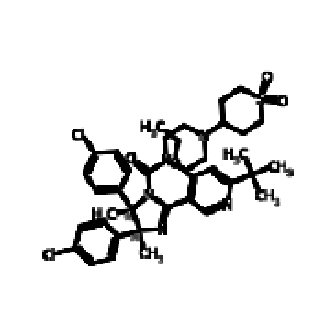 CCOc1cc(C(C)(C)C)ncc1C1=N[C@](C)(c2ccc(Cl)cc2)[C@](C)(c2ccc(Cl)cc2)N1C(=O)N1CCN(C2CCS(=O)(=O)CC2)CC1